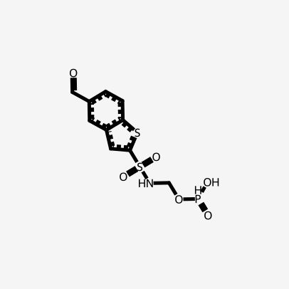 O=Cc1ccc2sc(S(=O)(=O)NCO[PH](=O)O)cc2c1